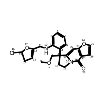 COCC1(c2ccccc2NCC2=CCC(Cl)O2)CCn2c1cc1occc1c2=O